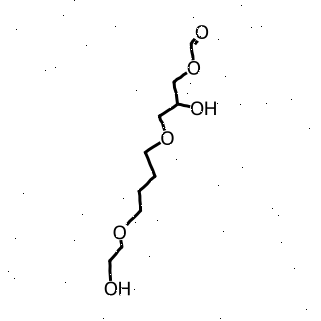 O=COCC(O)COCCCCOCCO